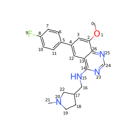 COc1cc(-c2ccc(F)cc2)cc2c(NCC3CCN(C)C3)ncnc12